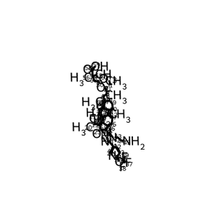 CC[C@H](CC[C@@]1(C)[C@H](C)CC[C@]2(C)[C@@H]1CC[C@@H]1C3=C(C(C)C)C(=O)C[C@]3(Cc3nnc(-c4ccc(OC(F)(F)F)nc4)n3CCN)CC[C@]12C)OC(=O)CC(C)(C)C(=O)O